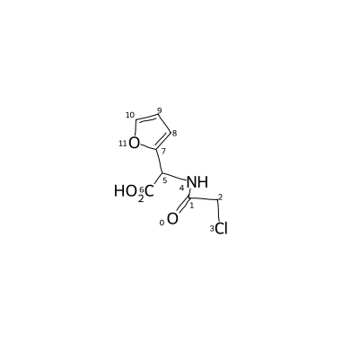 O=C(CCl)NC(C(=O)O)c1ccco1